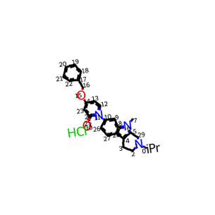 CC(C)N1CCc2c(n(C)c3cc(-n4ccc(OCc5ccccc5)cc4=O)ccc23)C1.Cl